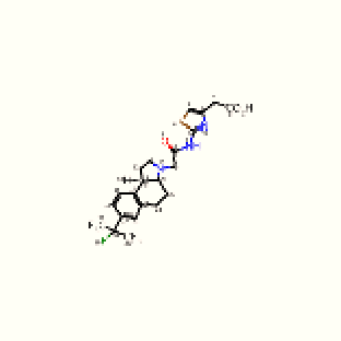 O=C(O)Cc1csc(NC(=O)CN2CC[C@H]3c4ccc(C(F)(C(F)(F)F)C(F)(F)F)cc4CCC32)n1